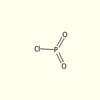 O=P(=O)Cl